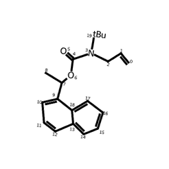 C=CCN(C(=O)OC(C)c1cccc2ccccc12)C(C)(C)C